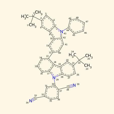 CC(C)(C)c1ccc2c(c1)c1cc(-c3cccc4c3c3cc(C(C)(C)C)ccc3n4-c3cc(C#N)ccc3C#N)ccc1n2-c1ccccc1